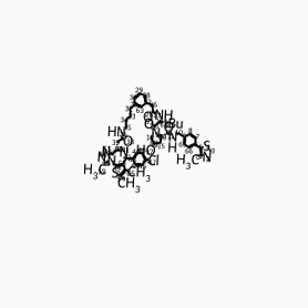 Cc1ncsc1-c1ccc(CNC(=O)[C@@H]2C[C@@H](O)CN2C(=O)C(NC(=O)Cc2cccc(CCCCNC(=O)C[C@@H]3N=C(c4ccc(Cl)cc4)c4c(sc(C)c4C)-n4c(C)nnc43)c2)C(C)(C)C)cc1